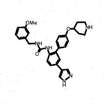 COc1cccc(CNC(=O)Nc2ccc(-c3cn[nH]c3)cc2-c2ccc(OC3CCNCC3)cc2)c1